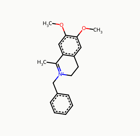 COc1cc2c(cc1OC)C(C)=[N+](Cc1ccccc1)CC2